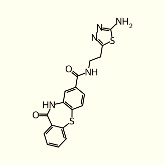 Nc1nnc(CCNC(=O)c2ccc3c(c2)NC(=O)c2ccccc2S3)s1